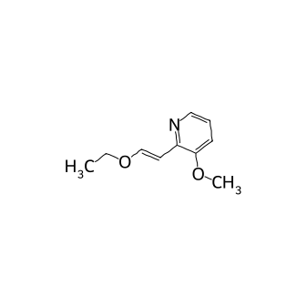 CCOC=Cc1ncccc1OC